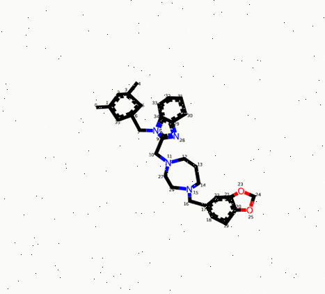 Cc1cc(C)cc(Cn2c(CN3CCCN(Cc4ccc5c(c4)OCO5)CC3)nc3ccccc32)c1